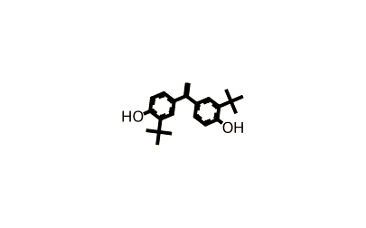 C=C(c1ccc(O)c(C(C)(C)C)c1)c1ccc(O)c(C(C)(C)C)c1